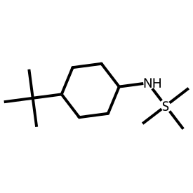 CC(C)(C)C1CCC(NS(C)(C)C)CC1